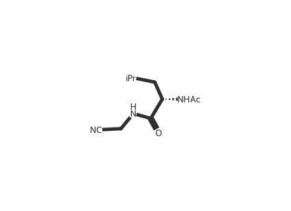 CC(=O)N[C@@H](CC(C)C)C(=O)NCC#N